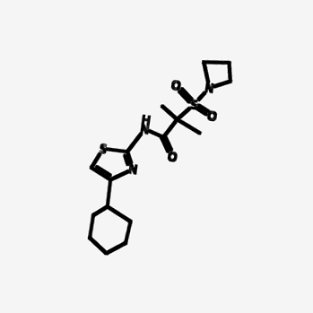 CC(C)(C(=O)Nc1nc(C2CCCCC2)cs1)S(=O)(=O)N1CCC1